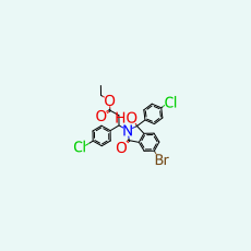 CCOC(=O)CC(c1ccc(Cl)cc1)N1C(=O)c2cc(Br)ccc2C1(O)c1ccc(Cl)cc1